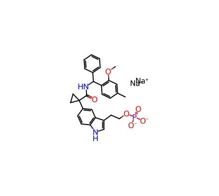 COc1cc(C)ccc1C(NC(=O)C1(c2ccc3[nH]cc(CCOP(=O)([O-])[O-])c3c2)CC1)c1ccccc1.[Na+].[Na+]